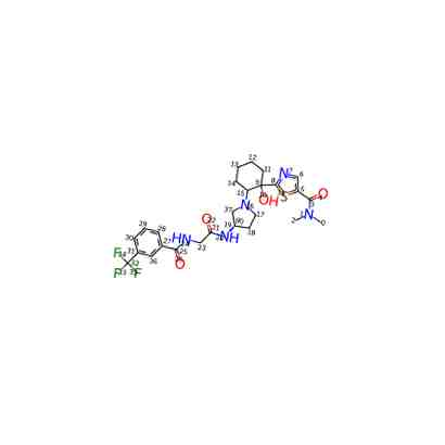 CN(C)C(=O)c1cnc(C2(O)CCCCC2N2CC[C@@H](NC(=O)CNC(=O)c3cccc(C(F)(F)F)c3)C2)s1